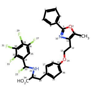 Cc1oc(-c2ccccc2)nc1CCOc1ccc(CC(NC(F)c2cc(F)c(F)c(F)c2F)C(=O)O)cc1